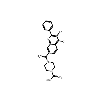 C=C(CCCC)N1CCN(C(=C)c2ccc3c(Cl)c(CC)c(-c4ccccc4)nc3c2)CC1